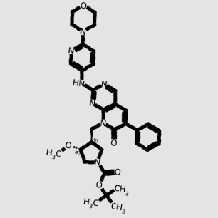 CO[C@H]1CN(C(=O)OC(C)(C)C)C[C@@H]1Cn1c(=O)c(-c2ccccc2)cc2cnc(Nc3ccc(N4CCOCC4)nc3)nc21